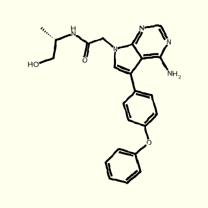 C[C@@H](CO)NC(=O)Cn1cc(-c2ccc(Oc3ccccc3)cc2)c2c(N)ncnc21